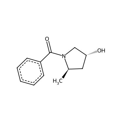 C[C@@H]1C[C@@H](O)CN1C(=O)c1ccccc1